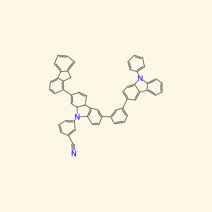 N#Cc1cccc(N2c3ccc(-c4cccc(-c5ccc6c(c5)c5ccccc5n6-c5ccccc5)c4)cc3C3C=CC(c4cccc5c4Cc4ccccc4-5)=CC32)c1